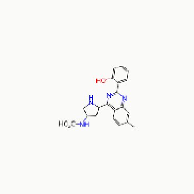 Cc1ccc2c(C3CC(NC(=O)O)CN3)nc(-c3ccccc3O)nc2c1